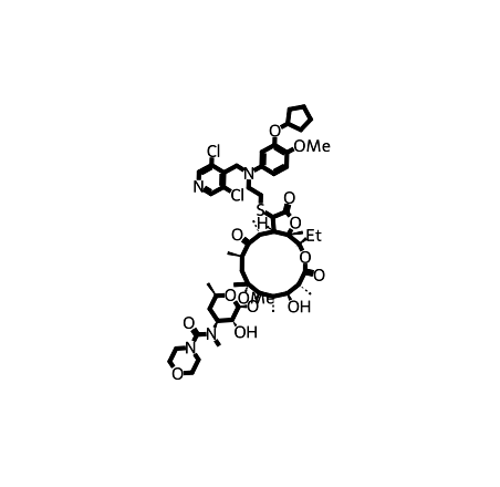 CC[C@H]1OC(=O)[C@H](C)[C@@H](O)[C@H](C)[C@@H](O[C@@H]2O[C@H](C)C[C@H](N(C)C(=O)N3CCOCC3)[C@H]2O)[C@](C)(OC)C[C@@H](C)C(=O)[C@H](C)[C@H]2C(SCCN(Cc3c(Cl)cncc3Cl)c3ccc(OC)c(OC4CCCC4)c3)C(=O)O[C@@]21C